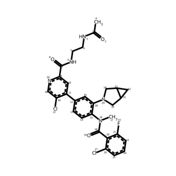 CC(=O)NCCNC(=O)c1cc(-c2ccc(N(C)C(=O)c3c(F)cccc3Cl)c(N3CC4CC4C3)c2)c(Cl)cn1